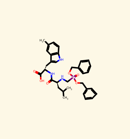 Cc1ccc2[nH]cc(C[C@H](NC(=O)[C@H](CC(C)C)NCP(=O)(OCc3ccccc3)OCc3ccccc3)C(=O)O)c2c1